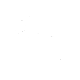 O=S(=O)(Nc1ccc(Oc2cc(C(F)(F)F)ccc2Cl)cc1F)c1ccc(F)cc1